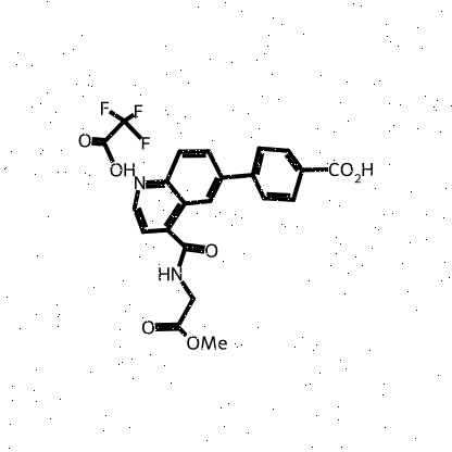 COC(=O)CNC(=O)c1ccnc2ccc(-c3ccc(C(=O)O)cc3)cc12.O=C(O)C(F)(F)F